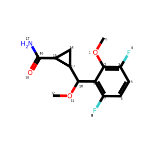 COc1c(F)ccc(F)c1C(OC)C1CC1C(N)=O